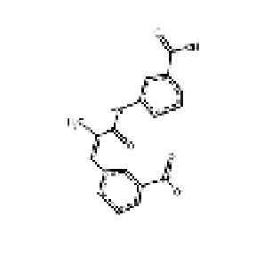 CC(=Cc1cccc([N+](=O)[O-])c1)C(=O)Nc1cccc(C(=O)O)c1